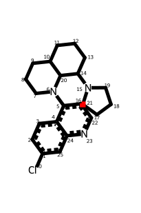 Clc1ccc2c(N3CCCC4CCCC(N5CCCC5)C43)ccnc2c1